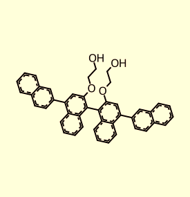 OCCOc1cc(-c2ccc3ccccc3c2)c2ccccc2c1-c1c(OCCO)cc(-c2ccc3ccccc3c2)c2ccccc12